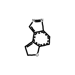 C1=c2c(ccc3c2=CCO3)N=N1